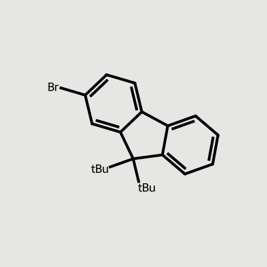 CC(C)(C)C1(C(C)(C)C)c2ccccc2-c2ccc(Br)cc21